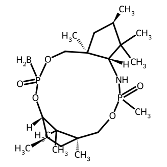 BP1(=O)OC[C@@]2(C)C[C@@H](C)C(C)(C)[C@@H]2NP(C)(=O)OC[C@@]2(C)C[C@@H](C)[C@H](O1)C2(C)C